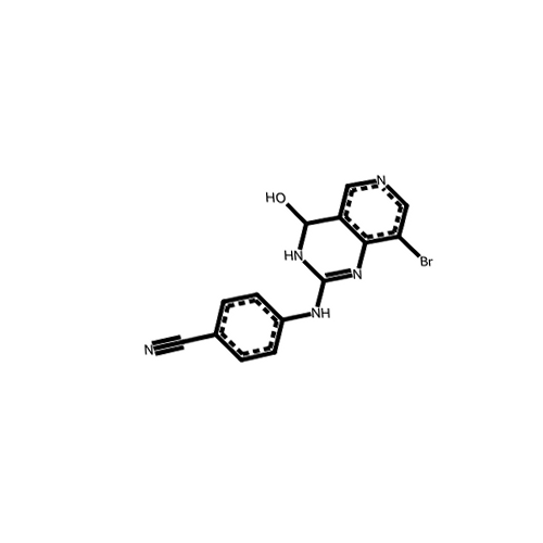 N#Cc1ccc(NC2=Nc3c(Br)cncc3C(O)N2)cc1